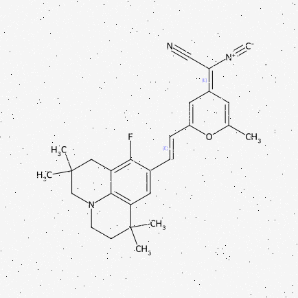 [C-]#[N+]/C(C#N)=C1\C=C(C)OC(/C=C/c2cc3c4c(c2F)CC(C)(C)CN4CCC3(C)C)=C1